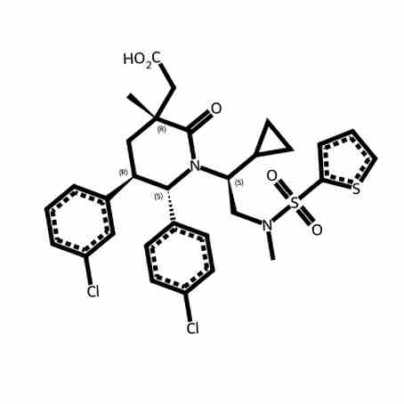 CN(C[C@H](C1CC1)N1C(=O)[C@@](C)(CC(=O)O)C[C@H](c2cccc(Cl)c2)[C@H]1c1ccc(Cl)cc1)S(=O)(=O)c1cccs1